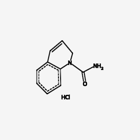 Cl.NC(=O)N1CC=Cc2ccccc21